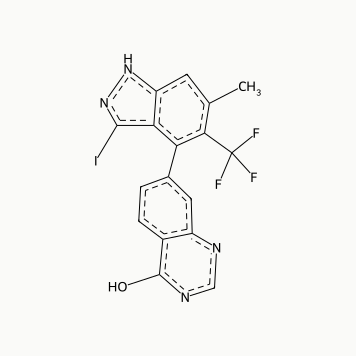 Cc1cc2[nH]nc(I)c2c(-c2ccc3c(O)ncnc3c2)c1C(F)(F)F